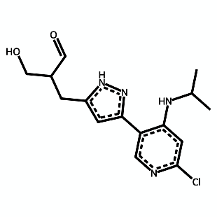 CC(C)Nc1cc(Cl)ncc1-c1cc(CC(C=O)CO)[nH]n1